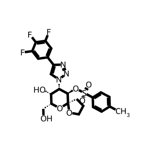 Cc1ccc(S(=O)(=O)O[C@@H]2[C@@H](n3cc(-c4cc(F)c(F)c(F)c4)nn3)[C@@H](O)[C@@H](CO)O[C@@]23CCCO3)cc1